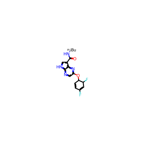 CC[C@@H](C)NC(=O)c1c[nH]c2ncc(OC3C=CC(F)=CC3F)nc12